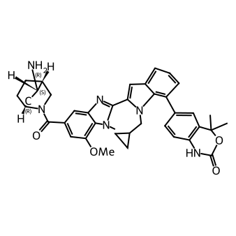 COc1cc(C(=O)N2C[C@H]3CC[C@@H]2C[C@@H]3N)cc2nc(-c3cc4cccc(-c5ccc6c(c5)C(C)(C)OC(=O)N6)c4n3CC3CC3)n(C)c12